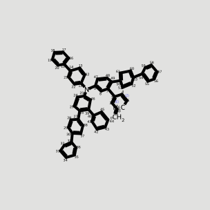 C=C/C=C(\C=C/C)c1cc(N(c2ccc(-c3ccccc3)cc2)c2ccc(-c3ccc(-c4ccccc4)cc3)c(-c3ccccc3)c2)ccc1-c1ccc(-c2ccccc2)cc1